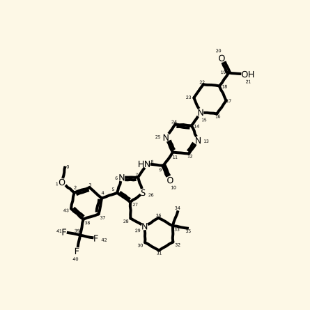 COc1cc(-c2nc(NC(=O)c3cnc(N4CCC(C(=O)O)CC4)cn3)sc2CN2CCCC(C)(C)C2)cc(C(F)(F)F)c1